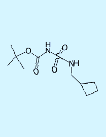 CC(C)(C)OC(=O)NS(=O)(=O)NCC1CCC1